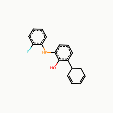 Oc1c(Pc2ccccc2F)cccc1C1C=CC=CC1